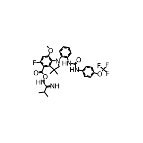 COc1cc(F)c(C(=O)ONC(=N)C(C)C)c2c1N(c1ccccc1NC(=O)Nc1ccc(OC(F)(F)F)cc1)CC2(C)C